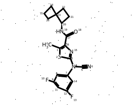 Cc1sc(N(C#N)c2cc(F)cc(F)c2)nc1C(=O)N[C@@H]1CCC12CCC2